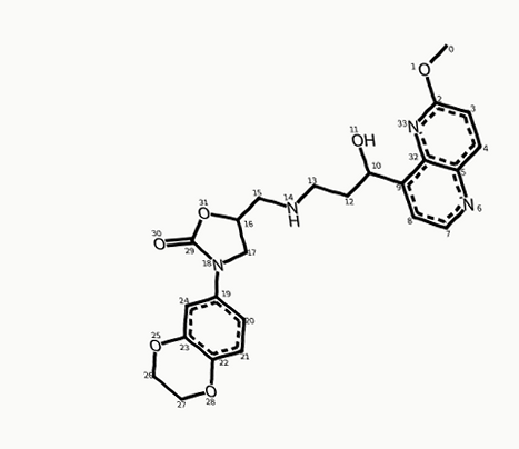 COc1ccc2nccc(C(O)CCNCC3CN(c4ccc5c(c4)OCCO5)C(=O)O3)c2n1